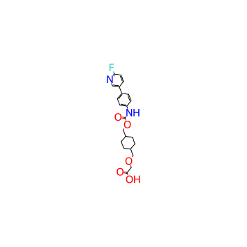 O=C(O)COCC1CCC(COC(=O)Nc2ccc(-c3ccc(F)nc3)cc2)CC1